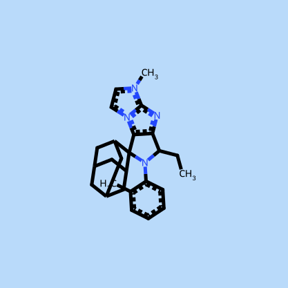 CCC1c2nc3n(C)ccn3c2C2(C3CC4CC(C3)CC2C4)N1c1ccccc1C